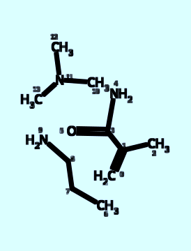 C=C(C)C(N)=O.CCCN.CN(C)C